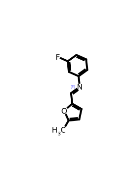 Cc1ccc(/C=N/c2cccc(F)c2)o1